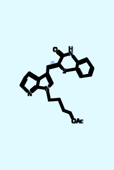 CC(=O)OCCCCn1cc(/C=C2\Sc3ccccc3NC2=O)c2cccnc21